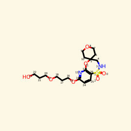 O=S1(=O)NCC2(CCOCC2)Oc2nc(OCCCOCCCO)ccc21